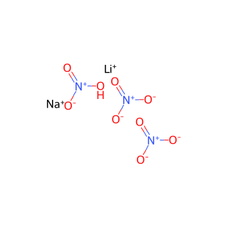 O=[N+]([O-])O.O=[N+]([O-])[O-].O=[N+]([O-])[O-].[Li+].[Na+]